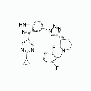 Fc1cccc(F)c1CN1CCC[C@@H](c2cn(-c3ccc4[nH]nc(-c5cnc(C6CC6)nc5)c4c3)nn2)C1